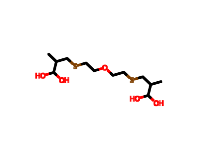 CC(CSCCOCCSCC(C)C(O)O)C(O)O